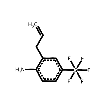 C=CCc1cc(S(F)(F)(F)(F)F)ccc1N